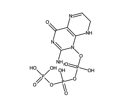 Nc1nc(=O)c2c(n1OP(=O)(O)OP(=O)(O)OP(=O)(O)O)NCC=N2